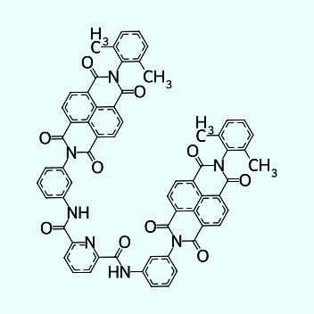 Cc1cccc(C)c1N1C(=O)c2ccc3c4c(ccc(c24)C1=O)C(=O)N(c1cccc(NC(=O)c2cccc(C(=O)Nc4cccc(N5C(=O)c6ccc7c8c(ccc(c68)C5=O)C(=O)N(c5c(C)cccc5C)C7=O)c4)n2)c1)C3=O